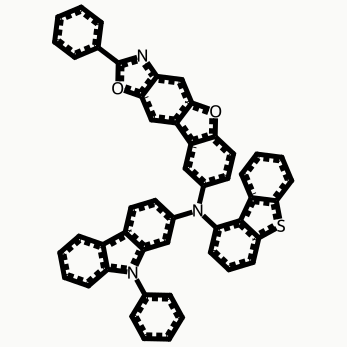 c1ccc(-c2nc3cc4oc5ccc(N(c6ccc7c8ccccc8n(-c8ccccc8)c7c6)c6cccc7sc8ccccc8c67)cc5c4cc3o2)cc1